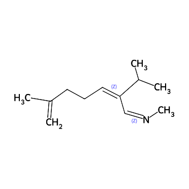 C=C(C)CC/C=C(\C=N/C)C(C)C